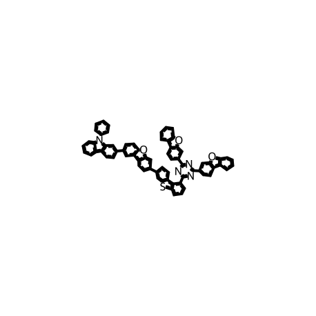 c1ccc(-n2c3ccccc3c3ccc(-c4ccc5oc6cc(-c7ccc8c(c7)sc7cccc(-c9nc(-c%10ccc%11c(c%10)oc%10ccccc%10%11)nc(-c%10ccc%11c(c%10)oc%10ccccc%10%11)n9)c78)ccc6c5c4)cc32)cc1